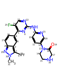 CC(C)c1c2cc(-c3nc(Nc4ccc(N5CCNCC5=O)cn4)ncc3F)ccc2nn1C